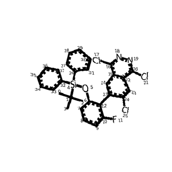 CC(C)(C)[Si](Oc1cccc(F)c1-c1cc2c(Cl)nnc(Cl)c2cc1Cl)(c1ccccc1)c1ccccc1